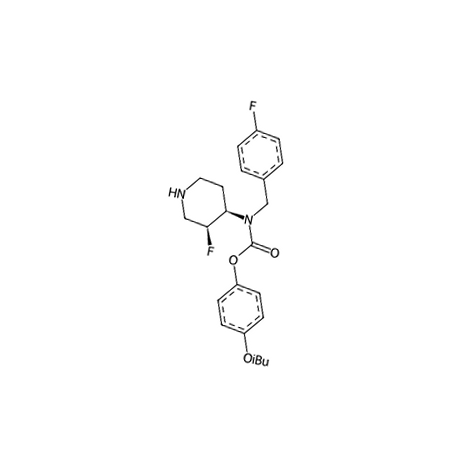 CC(C)COc1ccc(OC(=O)N(Cc2ccc(F)cc2)[C@@H]2CCNC[C@@H]2F)cc1